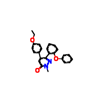 CCOc1ccc(-c2cc(=O)n(C)nc2-c2ccccc2Oc2ccccc2)cc1